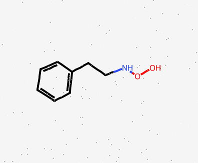 OONCCc1ccccc1